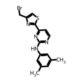 Cc1cc(C)cc(Nc2nccc(-c3nc(CBr)cs3)n2)c1